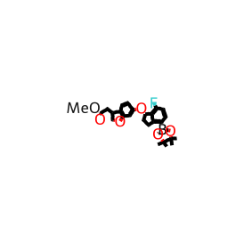 COC(=O)CC1COc2cc(OC3CCc4c(B5OC(C)(C)C(C)(C)O5)ccc(F)c43)ccc21